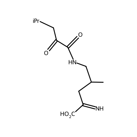 CC(C)CC(=O)C(=O)NCC(C)CC(=N)C(=O)O